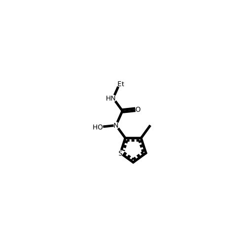 CCNC(=O)N(O)c1sccc1C